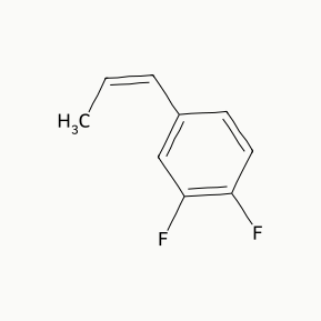 C/C=C\c1ccc(F)c(F)c1